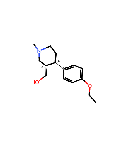 CCOc1ccc([C@H]2CCN(C)C[C@@H]2CO)cc1